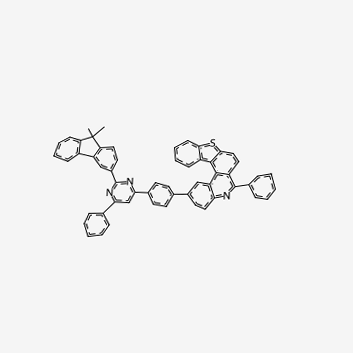 CC1(C)c2ccccc2-c2cc(-c3nc(-c4ccccc4)cc(-c4ccc(-c5ccc6nc(-c7ccccc7)c7ccc8sc9ccccc9c8c7c6c5)cc4)n3)ccc21